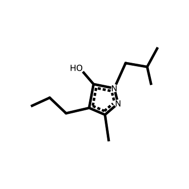 CCCc1c(C)nn(CC(C)C)c1O